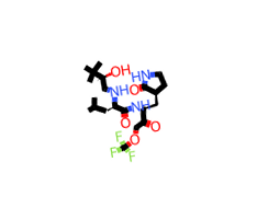 CC(C)C[C@H](NC[C@H](O)C(C)(C)C)C(=O)N[C@@H](C[C@@H]1CCNC1=O)C(=O)COC(F)(F)F